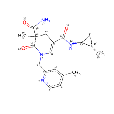 Cc1ccnc(CN2C=C(C(=O)N[C@H]3C[C@@H]3C)CC(C)(C(N)=O)C2=O)c1